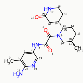 Cc1cc(NC(=O)C(=O)N2C[C@H](C)CC[C@H]2C2CCNC(=O)C2)cnc1N